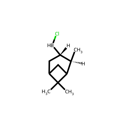 C[C@H]1C2CC(C[C@@H]1BCl)C2(C)C